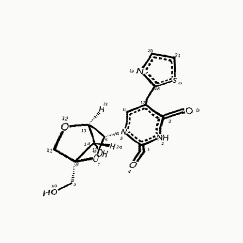 O=c1[nH]c(=O)n([C@@H]2O[C@@]3(CO)CO[C@@H]2[C@@H]3O)cc1-c1nccs1